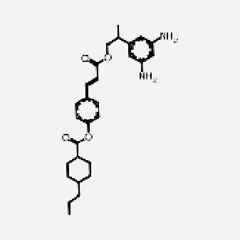 CCCC1CCC(C(=O)Oc2ccc(/C=C/C(=O)OCC(C)c3cc(N)cc(N)c3)cc2)CC1